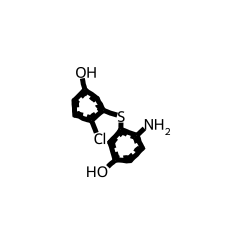 Nc1ccc(O)cc1Sc1cc(O)ccc1Cl